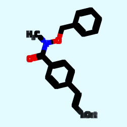 CCCCCCCCC=Cc1ccc(C(=O)N(C)OCc2ccccc2)cc1